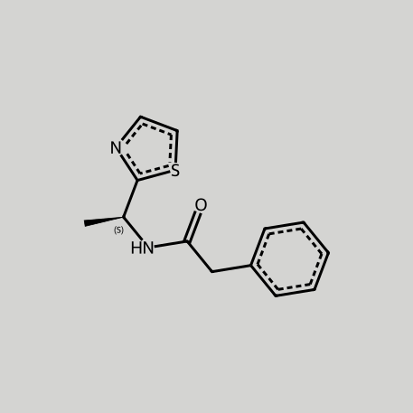 C[C@H](NC(=O)Cc1ccccc1)c1nccs1